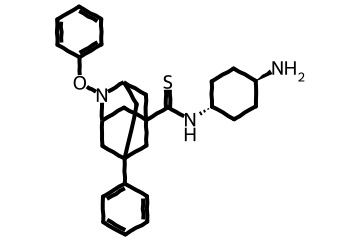 N[C@H]1CC[C@H](NC(=S)C23CC4CC(c5ccccc5)(CC(C2)N4Oc2ccccc2)C3)CC1